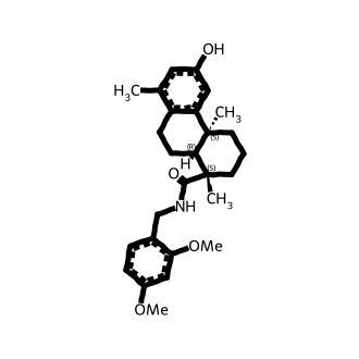 COc1ccc(CNC(=O)[C@@]2(C)CCC[C@]3(C)c4cc(O)cc(C)c4CC[C@@H]23)c(OC)c1